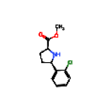 COC(=O)[C@@H]1CC[C@H](c2ccccc2Cl)N1